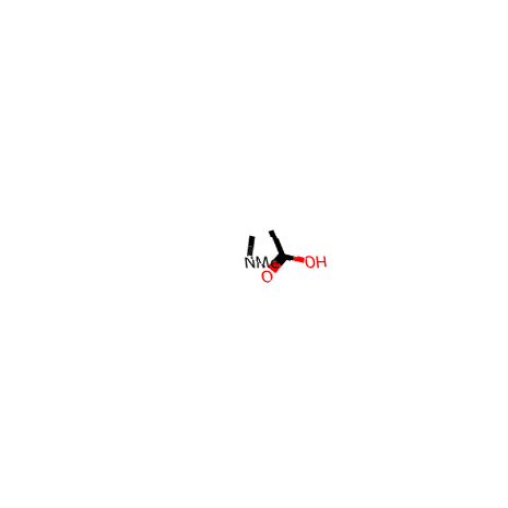 CC(=O)O.CNC